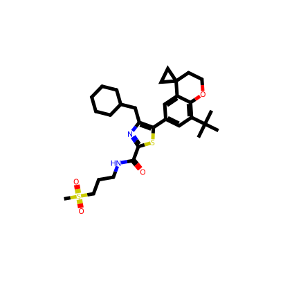 CC(C)(C)c1cc(-c2sc(C(=O)NCCCS(C)(=O)=O)nc2CC2CCCCC2)cc2c1OCCC21CC1